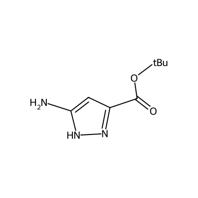 CC(C)(C)OC(=O)c1cc(N)[nH]n1